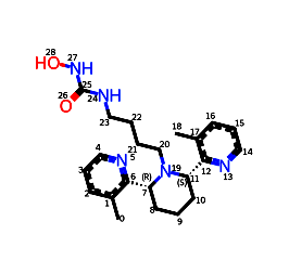 Cc1cccnc1[C@H]1CCC[C@@H](c2ncccc2C)N1CCCCNC(=O)NO